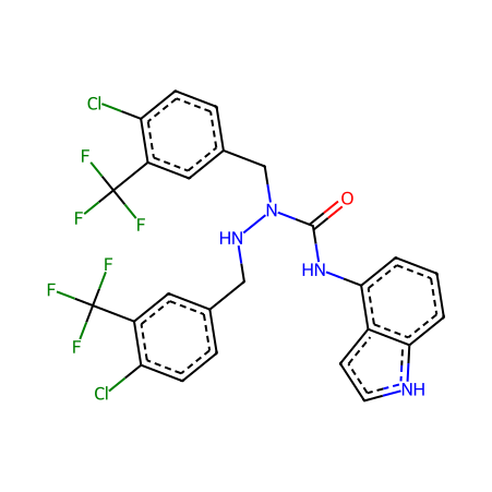 O=C(Nc1cccc2[nH]ccc12)N(Cc1ccc(Cl)c(C(F)(F)F)c1)NCc1ccc(Cl)c(C(F)(F)F)c1